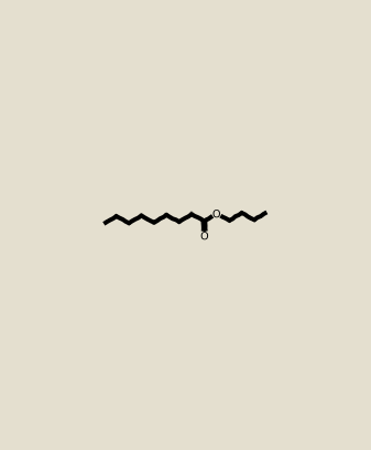 CCCCCCC[CH]C(=O)OCCCC